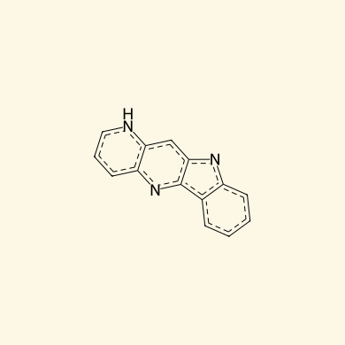 c1c[nH]c2cc3nc4ccccc4c3nc2c1